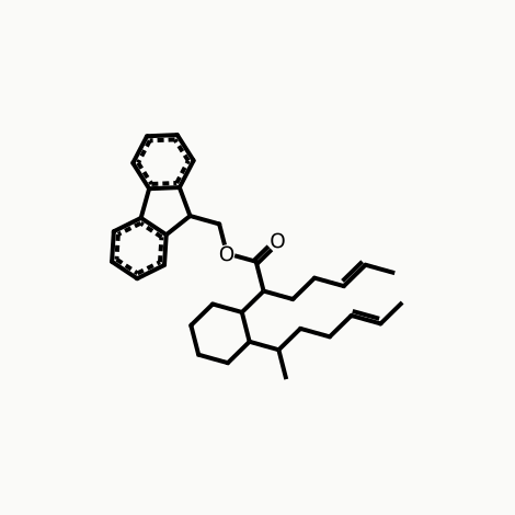 CC=CCCC(C)C1CCCCC1C(CCC=CC)C(=O)OCC1c2ccccc2-c2ccccc21